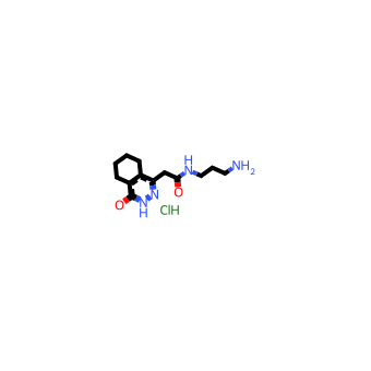 Cl.NCCCNC(=O)Cc1n[nH]c(=O)c2c1CCCC2